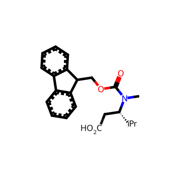 CC(C)[C@H](CC(=O)O)N(C)C(=O)OCC1c2ccccc2-c2ccccc21